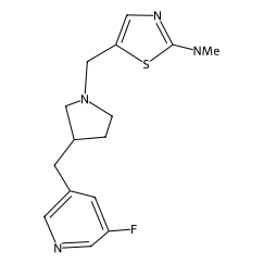 CNc1ncc(CN2CCC(Cc3cncc(F)c3)C2)s1